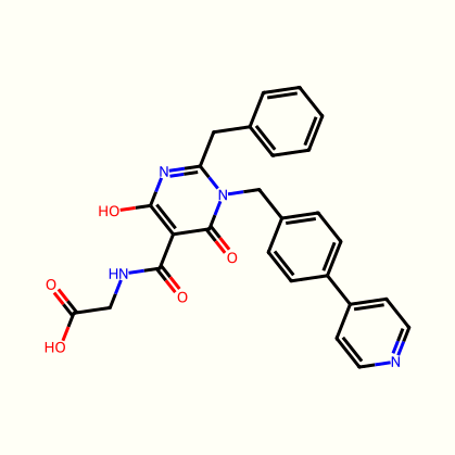 O=C(O)CNC(=O)c1c(O)nc(Cc2ccccc2)n(Cc2ccc(-c3ccncc3)cc2)c1=O